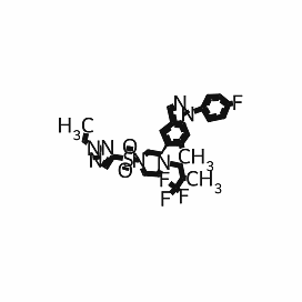 CCn1ncc(S(=O)(=O)N2CCN(CC(C)C(F)(F)F)[C@H](c3cc4cnn(-c5ccc(F)cc5)c4cc3C)C2)n1